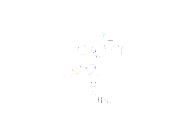 CCOc1cc(F)c(Cn2nc(-c3nc4c(c(OS(=O)(=O)C(F)(F)F)n3)CN(C(=O)OC(C)(C)C)CC4)c3ccccc32)c(F)c1